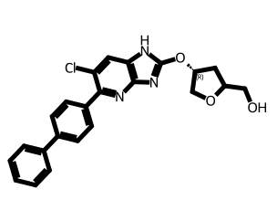 OCC1C[C@@H](Oc2nc3nc(-c4ccc(-c5ccccc5)cc4)c(Cl)cc3[nH]2)CO1